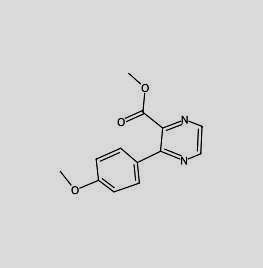 COC(=O)c1nccnc1-c1ccc(OC)cc1